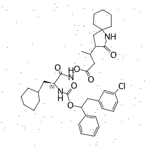 CC(CC(=O)ONC(=O)[C@H](CC1CCCCC1)NC(=O)OC(Cc1cccc(Cl)c1)c1ccccc1)C1CC2(CCCCC2)NC1=O